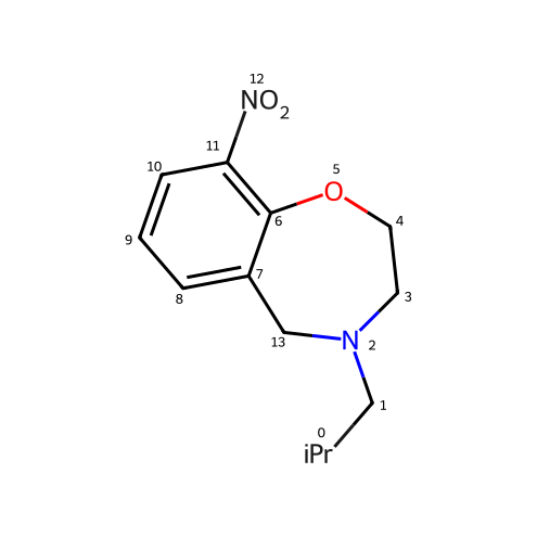 CC(C)CN1CCOc2c(cccc2[N+](=O)[O-])C1